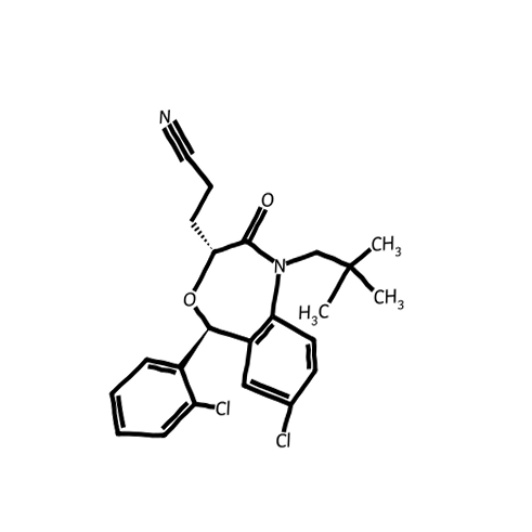 CC(C)(C)CN1C(=O)[C@@H](CCC#N)O[C@H](c2ccccc2Cl)c2cc(Cl)ccc21